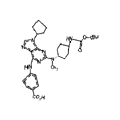 CN(c1nc(Nc2ccc(C(=O)O)cc2)c2ncn(C3CCCC3)c2n1)[C@H]1CC[C@H](NC(=O)OC(C)(C)C)CC1